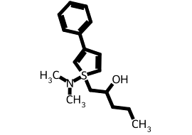 CCCC(O)CS1(N(C)C)C=CC(c2ccccc2)=C1